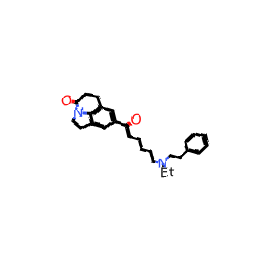 CCN(CCCCCC(=O)c1cc2c3c(c1)CCN3C(=O)CC2)CCc1ccccc1